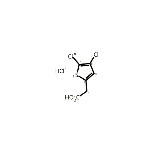 Cl.O=C(O)Cc1cc(Cl)c(Cl)s1